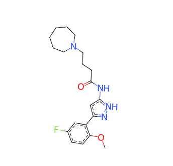 COc1ccc(F)cc1-c1cc(NC(=O)CCCN2CCCCCC2)[nH]n1